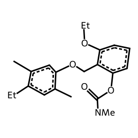 CCOc1cccc(OC(=O)NC)c1COc1cc(C)c(CC)cc1C